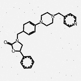 O=C1OC(c2ccccc2)CN1CC1C=CC(N2CCN(Cc3ccncc3)CC2)=CC1